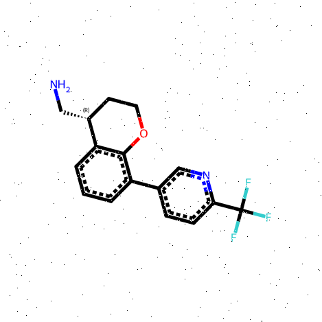 NC[C@@H]1CCOc2c(-c3ccc(C(F)(F)F)nc3)cccc21